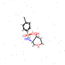 Cc1ccc(S(=O)(=O)N[C@@H]2COCC[C@@H]2O)cc1